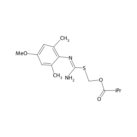 COc1cc(C)c(/N=C(\N)SCOC(=O)C(C)C)c(C)c1